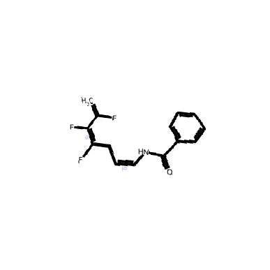 C=C(F)/C(F)=C(/F)C/C=C\NC(=O)c1ccccc1